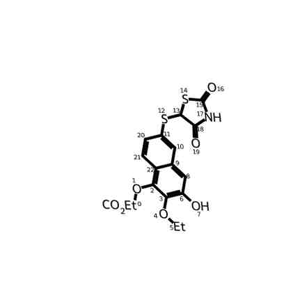 CCOC(=O)Oc1c(OCC)c(O)cc2cc(SC3SC(=O)NC3=O)ccc12